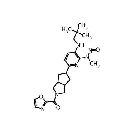 CN(N=O)c1nc(C2CC3CN(C(=O)c4ncco4)CC3C2)ccc1NCC(C)(C)C